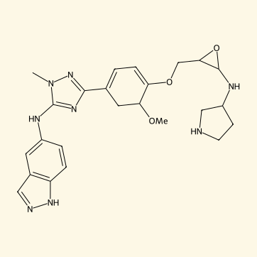 COC1CC(c2nc(Nc3ccc4[nH]ncc4c3)n(C)n2)=CC=C1OCC1OC1NC1CCNC1